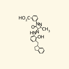 CC1=NN(c2cccc(C(=O)O)c2)C(=O)/C1=N\Nc1cccc(CC2CCc3ccccc32)c1O